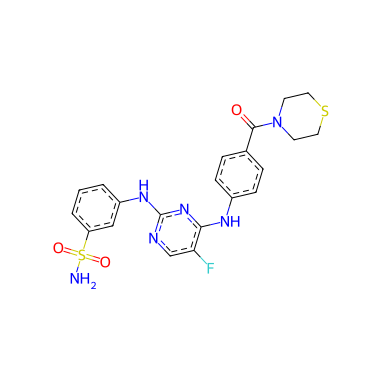 NS(=O)(=O)c1cccc(Nc2ncc(F)c(Nc3ccc(C(=O)N4CCSCC4)cc3)n2)c1